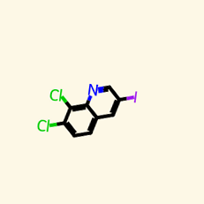 Clc1ccc2cc(I)cnc2c1Cl